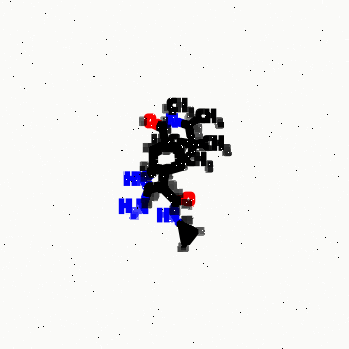 C[C@H](N(C)C(=O)c1ccc2c(C(=O)NC3CC3)c(N)[nH]c2c1)C(C)(C)C